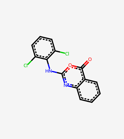 O=c1oc(Nc2c(Cl)cccc2Cl)nc2ccccc12